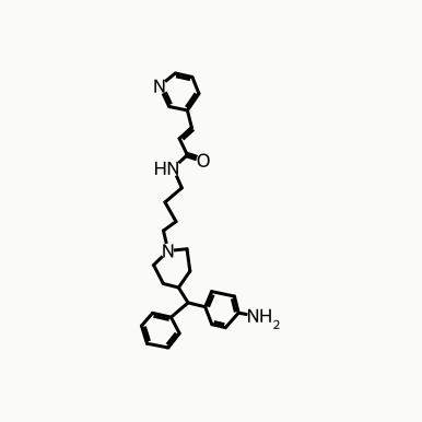 Nc1ccc(C(c2ccccc2)C2CCN(CCCCNC(=O)C=Cc3cccnc3)CC2)cc1